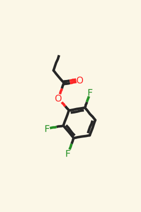 CCC(=O)Oc1c(F)ccc(F)c1F